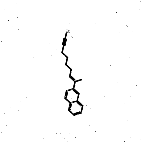 CCC#CCCCCC=C(C)c1ccc2ccccc2c1